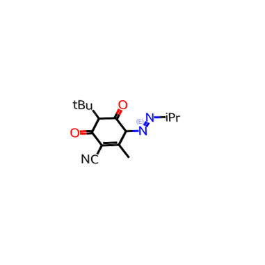 CC1=C(C#N)C(=O)C(C(C)(C)C)C(=O)C1/N=N/C(C)C